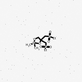 CCS(=O)(=O)CC1(CS(=O)(=O)CC)CO[Si](C)(C)O1